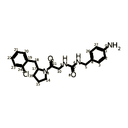 Nc1ccc(CNC(=O)NCC(=O)N2CCCC2Cc2ccccc2Cl)cc1